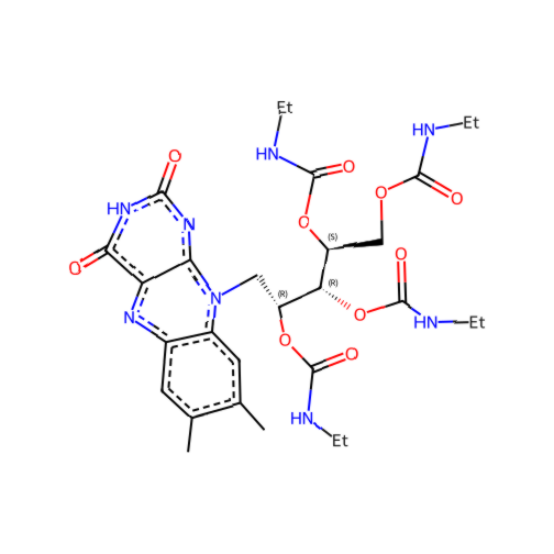 CCNC(=O)OC[C@H](OC(=O)NCC)[C@H](OC(=O)NCC)[C@@H](Cn1c2nc(=O)[nH]c(=O)c-2nc2cc(C)c(C)cc21)OC(=O)NCC